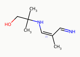 C/C(C=N)=C/NC(C)(C)CO